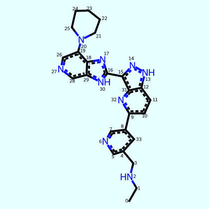 CCNCc1cncc(-c2ccc3[nH]nc(-c4nc5c(N6CCCCC6)cncc5[nH]4)c3n2)c1